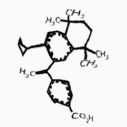 C=C(c1ccc(C(=O)O)cc1)c1cc2c(cc1C1CC1)C(C)(C)CCC2(C)C